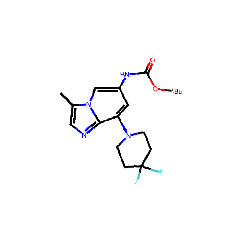 Cc1cnc2c(N3CCC(F)(F)CC3)cc(NC(=O)OC(C)(C)C)cn12